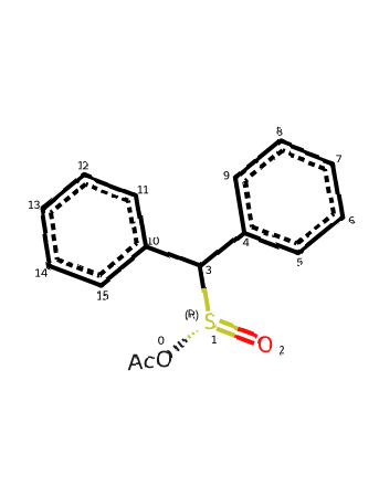 CC(=O)O[S@@](=O)C(c1ccccc1)c1ccccc1